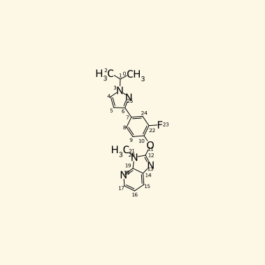 CC(C)n1ccc(-c2ccc(Oc3nc4cccnc4n3C)c(F)c2)n1